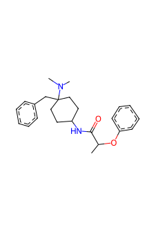 CC(Oc1ccccc1)C(=O)NC1CCC(Cc2ccccc2)(N(C)C)CC1